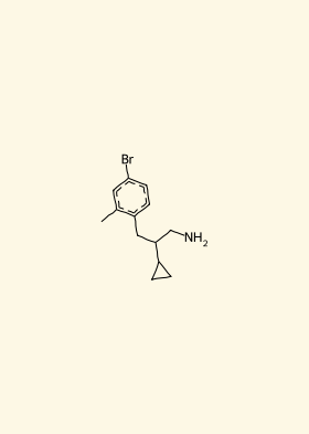 Cc1cc(Br)ccc1CC(CN)C1CC1